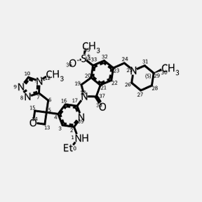 CCNc1cc(C2(Cc3nncn3C)COC2)cc(N2Cc3c(cc(CN4CCC[C@H](C)C4)cc3[S+](C)[O-])C2=O)n1